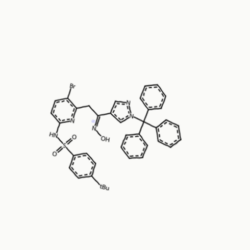 CC(C)(C)c1ccc(S(=O)(=O)Nc2ccc(Br)c(C/C(=N/O)c3cnn(C(c4ccccc4)(c4ccccc4)c4ccccc4)c3)n2)cc1